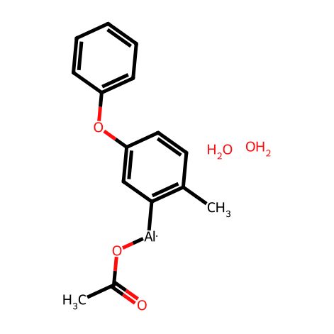 CC(=O)[O][Al][c]1cc(Oc2ccccc2)ccc1C.O.O